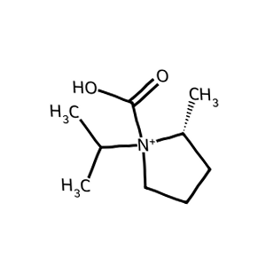 CC(C)[N+]1(C(=O)O)CCC[C@H]1C